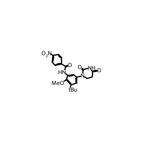 COc1c(NC(=O)c2ccc([N+](=O)[O-])cc2)cc(N2CCC(=O)NC2=O)cc1C(C)(C)C